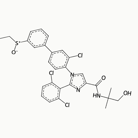 CC[S+]([O-])c1cccc(-c2ccc(-n3cc(C(=O)NC(C)(C)CO)nc3-c3c(Cl)cccc3Cl)c(Cl)c2)c1